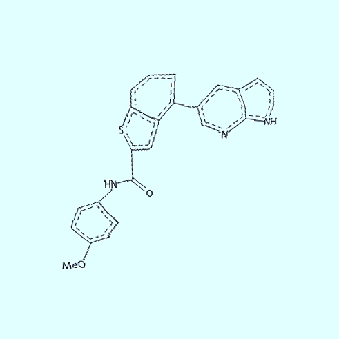 COc1ccc(NC(=O)c2cc3c(-c4cnc5[nH]ccc5c4)cccc3s2)cc1